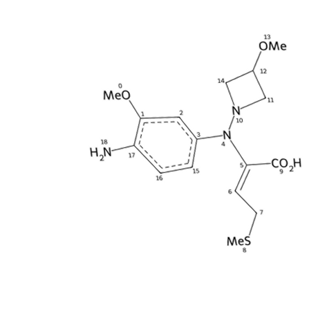 COc1cc(N(C(=CCSC)C(=O)O)N2CC(OC)C2)ccc1N